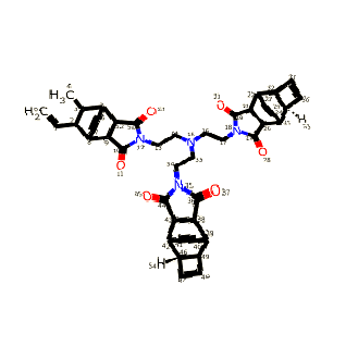 C=CC1C(C)C2C=CC1C1C(=O)N(CCN(CCN3C(=O)C4C5C=CC(C4C3=O)[C@@H]3C=CC53)CCN3C(=O)C4C5C=CC(C4C3=O)[C@H]3C=CC53)C(=O)C21